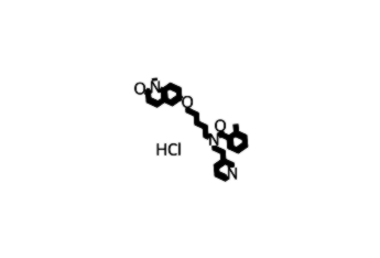 Cc1ccccc1C(=O)N(CCCCCOc1ccc2c(ccc(=O)n2C)c1)CCc1cccnc1.Cl